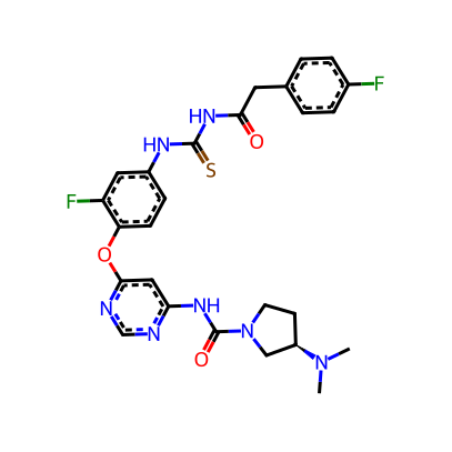 CN(C)[C@@H]1CCN(C(=O)Nc2cc(Oc3ccc(NC(=S)NC(=O)Cc4ccc(F)cc4)cc3F)ncn2)C1